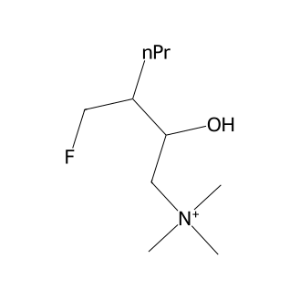 CCCC(CF)C(O)C[N+](C)(C)C